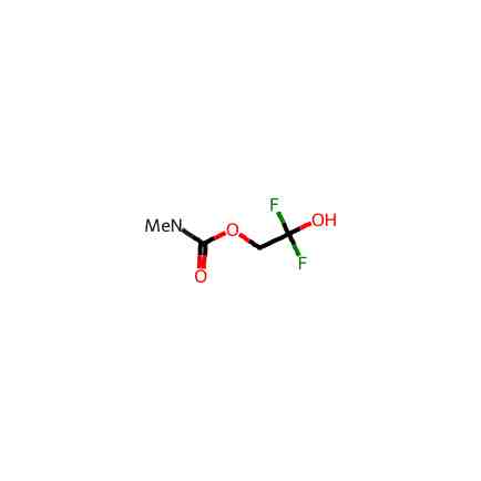 CNC(=O)OCC(O)(F)F